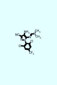 CN(C)C=Nc1c(N)c(C#N)nn1-c1c(Cl)cc(C(F)(F)F)cc1Cl